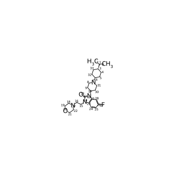 CC(C)[C@H]1CC[C@@H](N2CCC(n3c(=O)n(CCN4CCOCC4)c4ccc(F)cc43)CC2)CC1